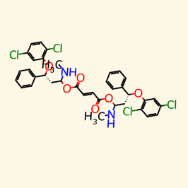 CNC(C[C@@H](Oc1cc(Cl)ccc1Cl)c1ccccc1)OC(=O)/C=C/C(=O)OC(C[C@@H](Oc1cc(Cl)ccc1Cl)c1ccccc1)NC